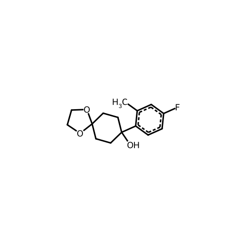 Cc1cc(F)ccc1C1(O)CCC2(CC1)OCCO2